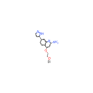 CCOCCOc1cc(N)nc2cc(-c3ccn[nH]3)ccc12